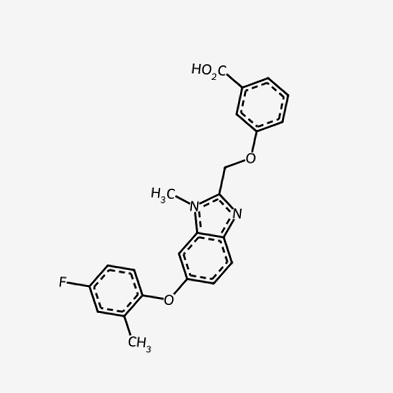 Cc1cc(F)ccc1Oc1ccc2nc(COc3cccc(C(=O)O)c3)n(C)c2c1